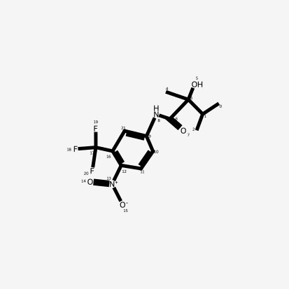 CC(C)C(C)(O)C(=O)Nc1ccc([N+](=O)[O-])c(C(F)(F)F)c1